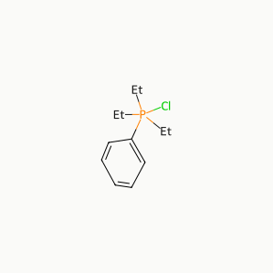 CCP(Cl)(CC)(CC)c1ccccc1